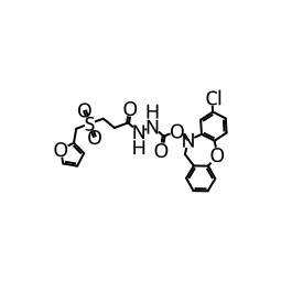 O=C(CCS(=O)(=O)Cc1ccco1)NNC(=O)ON1Cc2ccccc2Oc2ccc(Cl)cc21